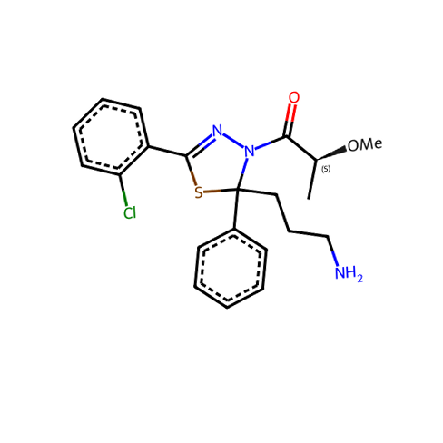 CO[C@@H](C)C(=O)N1N=C(c2ccccc2Cl)SC1(CCCN)c1ccccc1